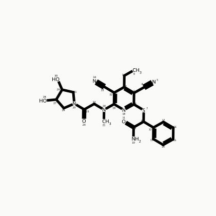 CCc1c(C#N)c(SC(C(N)=O)c2ccccc2)nc(N(C)CC(=O)N2CC(O)C(O)C2)c1C#N